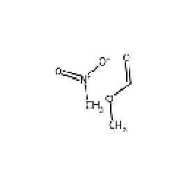 COC=O.C[N+](=O)[O-]